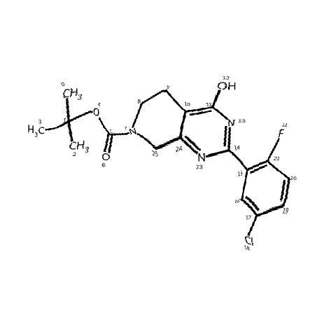 CC(C)(C)OC(=O)N1CCc2c(O)nc(-c3cc(Cl)ccc3F)nc2C1